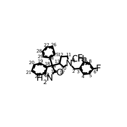 C[N+]1(Cc2ccc(F)cc2F)CCC(C(C(N)=O)(c2ccccc2)c2ccccc2)C1